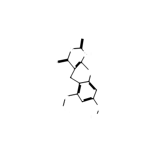 COc1cc(OC)c2c(c1)Oc1[nH]c(=O)[nH]c(=O)c1C2